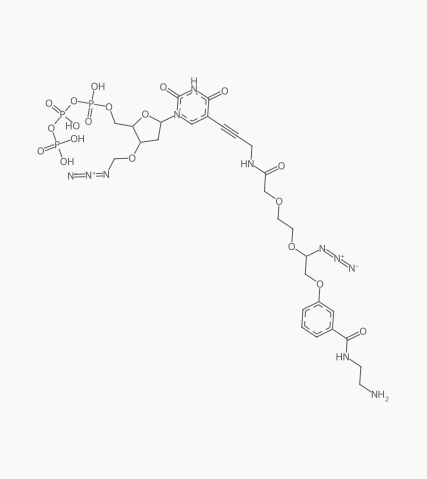 [N-]=[N+]=NCOC1CC(n2cc(C#CCNC(=O)COCCOC(COc3cccc(C(=O)NCCN)c3)N=[N+]=[N-])c(=O)[nH]c2=O)OC1COP(=O)(O)OP(=O)(O)OP(=O)(O)O